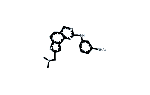 CC(=O)Nc1cccc(Nc2ncc3ccc4sc(CN(C)C)cc4c3n2)c1